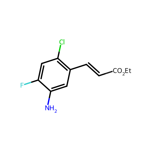 CCOC(=O)C=Cc1cc(N)c(F)cc1Cl